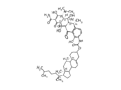 CC(C)CCC[C@H](C)C1CCC2C3CC=C4CC(OC(=O)Nc5ccc6c(c5O)C(=O)C5=C(O)[C@]7(O)C(=O)C(C(N)=O)=C(O)[C@H](N(C)C)[C@H]7[C@@H](O)[C@H]5[C@@H]6C)CC[C@]4(C)C3CC[C@@]21C